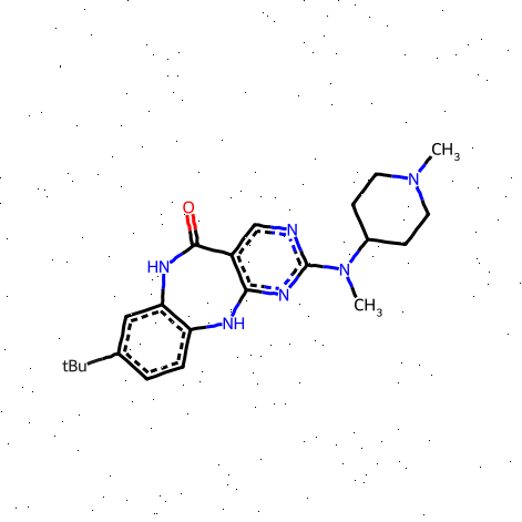 CN1CCC(N(C)c2ncc3c(n2)Nc2ccc(C(C)(C)C)cc2NC3=O)CC1